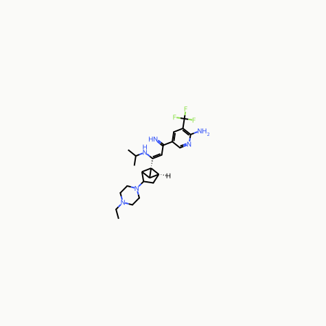 CCN1CCN(C2C[C@H]3C4C2[C@]43/C(=C/C(=N)c2cnc(N)c(C(F)(F)F)c2)NC(C)C)CC1